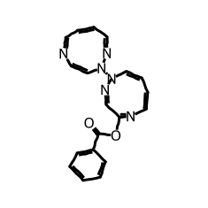 O=C(Oc1cnn(-n2ccnccccn2)ccccn1)c1ccccc1